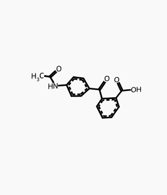 CC(=O)Nc1ccc(C(=O)c2ccccc2C(=O)O)cc1